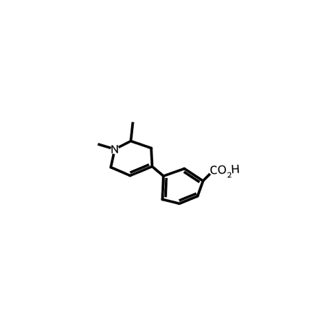 CC1CC(c2cccc(C(=O)O)c2)=CCN1C